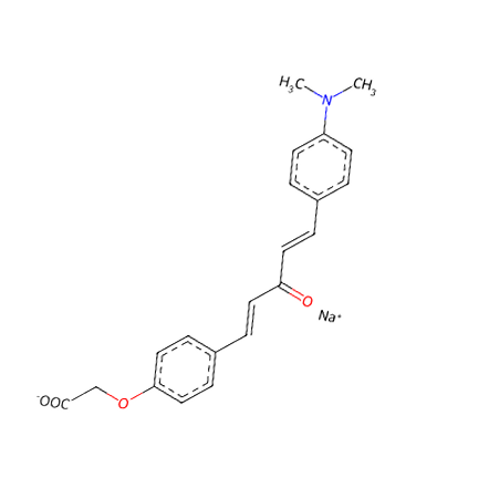 CN(C)c1ccc(C=CC(=O)C=Cc2ccc(OCC(=O)[O-])cc2)cc1.[Na+]